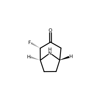 O=C1C[C@@H]2CC[C@H](N2)[C@@H]1F